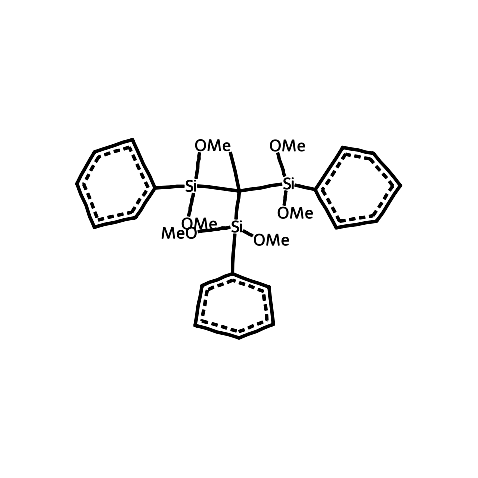 CO[Si](OC)(c1ccccc1)C(C)([Si](OC)(OC)c1ccccc1)[Si](OC)(OC)c1ccccc1